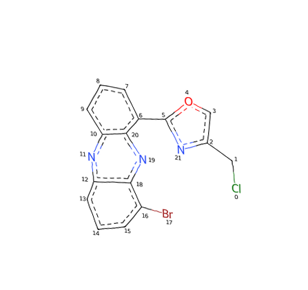 ClCc1coc(-c2cccc3nc4cccc(Br)c4nc23)n1